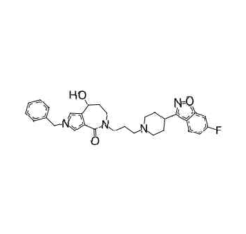 O=C1c2cn(Cc3ccccc3)cc2C(O)CCN1CCCN1CCC(c2noc3cc(F)ccc23)CC1